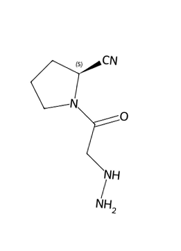 N#C[C@@H]1CCCN1C(=O)CNN